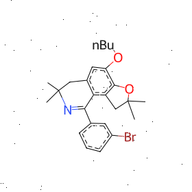 CCCCOc1cc2c(c3c1OC(C)(C)C3)C(c1cccc(Br)c1)=NC(C)(C)C2